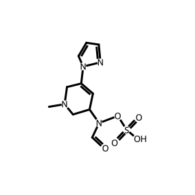 CN1CC(n2cccn2)=CC(N(C=O)OS(=O)(=O)O)C1